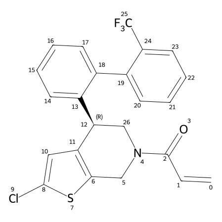 C=CC(=O)N1Cc2sc(Cl)cc2[C@@H](c2ccccc2-c2ccccc2C(F)(F)F)C1